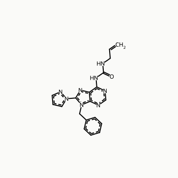 C=CCNC(=O)Nc1ncnc2c1nc(-n1cccn1)n2Cc1ccccc1